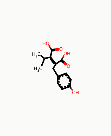 CC(C)/C(C(=O)O)=C(\Cc1ccc(O)cc1)C(=O)O